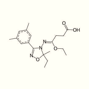 CCOC(CCC(=O)O)=NN1C(c2cc(C)cc(C)c2)=NOC1(C)CC